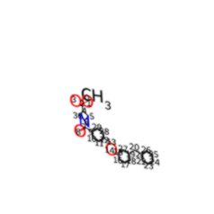 COC(=O)C1CN(C(=O)c2ccc(COc3cccc(Cc4ccccc4)c3)cc2)C1